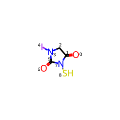 O=C1CN(I)C(=O)N1S